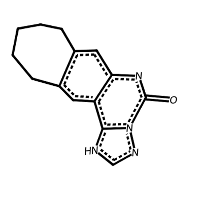 O=c1nc2cc3c(cc2c2[nH]cnn12)CCCCC3